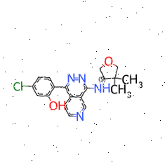 CC1(C)COC[C@H]1Nc1nnc(-c2ccc(Cl)cc2O)c2ccncc12